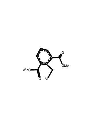 COC(=O)c1cccc(C(=O)OC)c1CCl